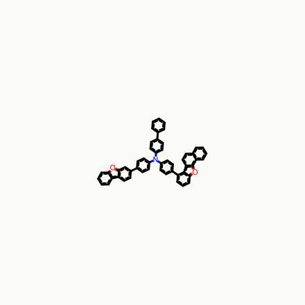 c1ccc(-c2ccc(N(c3ccc(-c4ccc5c(c4)oc4ccccc45)cc3)c3ccc(-c4cccc5oc6c7ccccc7ccc6c45)cc3)cc2)cc1